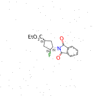 CCOC(=O)[C@@H]1C[C@H](F)[C@@H](N2C(=O)c3ccccc3C2=O)C1